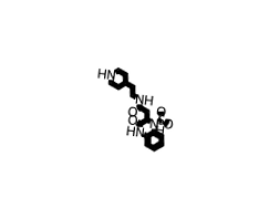 O=C(CC1C(=O)Nc2ccccc2N1[SH](=O)=O)NCCC1CCNCC1